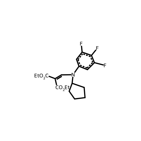 CCOC(=O)C(=CN(c1cc(F)c(F)c(F)c1)C1CCCC1)C(=O)OCC